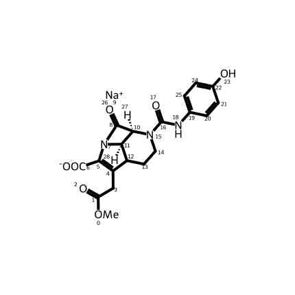 COC(=O)CC1=C(C(=O)[O-])N2C(=O)[C@@H]3[C@H]2C1CCN3C(=O)Nc1ccc(O)cc1.[Na+]